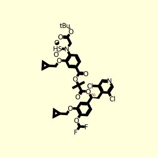 CC(C)(C)OC(=O)CN(c1ccc(C(=O)OC(C)(C)C(=O)O[C@@H](Cc2c(Cl)cncc2Cl)c2ccc(OC(F)F)c(OCC3CC3)c2)cc1OCC1CC1)[SH](=O)=O